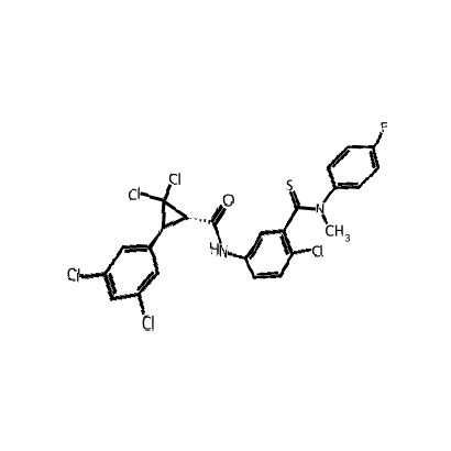 CN(C(=S)c1cc(NC(=O)[C@@H]2[C@@H](c3cc(Cl)cc(Cl)c3)C2(Cl)Cl)ccc1Cl)c1ccc(F)cc1